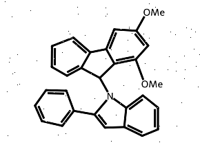 COc1cc(OC)c2c(c1)-c1ccccc1C2n1c(-c2ccccc2)cc2ccccc21